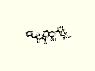 O=C(Cc1cccs1)NC1C(=O)N2C(C(=O)O)=C(CSc3nnnn3CS(=O)(=O)O)CS[C@H]12